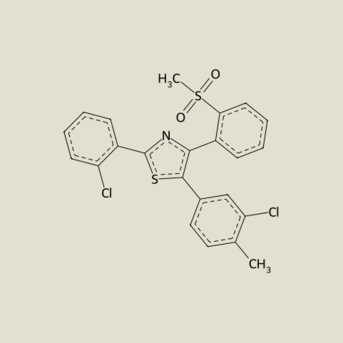 Cc1ccc(-c2sc(-c3ccccc3Cl)nc2-c2ccccc2S(C)(=O)=O)cc1Cl